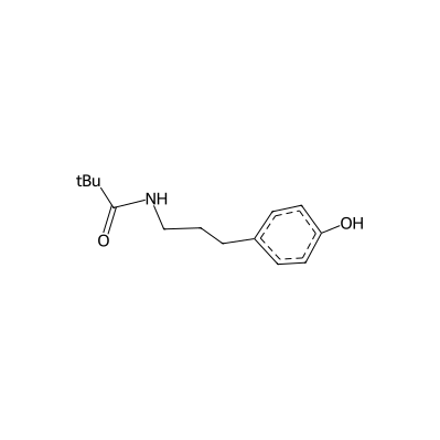 CC(C)(C)C(=O)NCCCc1ccc(O)cc1